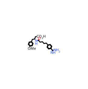 COc1ccc(CC(CC(=O)O)NC(=O)CCCCc2ccc(C(=N)N)cc2)cc1